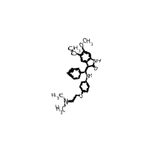 COc1cc2c(cc1OC)/C(=C(/Nc1ccc(OCCN(C)C)cc1)c1ccccc1)C(=O)N2